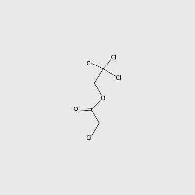 O=C(CCl)OCC(Cl)(Cl)Cl